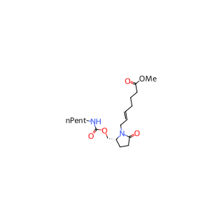 CCCCCNC(=O)OC[C@H]1CCC(=O)N1CC=CCCCC(=O)OC